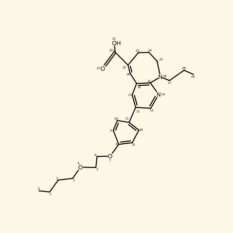 CCCCOCCOc1ccc(-c2cnc3c(c2)C=C(C(=O)O)CCCN3CCC)cc1